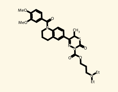 CCN(CC)CCCOC(=O)N1N=C(c2ccc3c(c2)CCCN3C(=O)c2ccc(OC)c(OC)c2)C(C)SC1=O